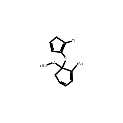 CCCCOC1(SC2=[C]([Ti])CC=C2)CC=CC=C1C(C)(C)C